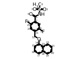 CS(=O)(=O)NC(=O)c1cc(F)c(COc2cccc3ccccc23)cc1F